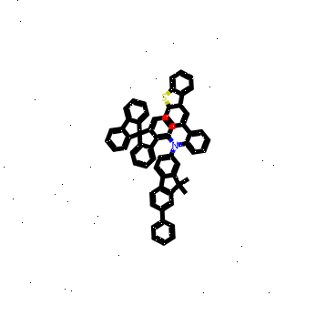 CC1(C)c2cc(-c3ccccc3)ccc2-c2ccc(N(c3ccccc3C3=CC4c5ccccc5SC4C=C3)c3cccc4c3-c3ccccc3C43c4ccccc4-c4ccccc43)cc21